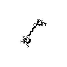 CC(C)CC(OCCCCCCn1ccc(=S)[nH]c1=S)C(C)C